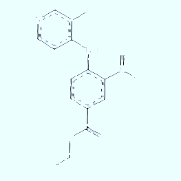 CCOC(=O)c1ccc(Nc2ccncc2Cl)c([N+](=O)[O-])c1